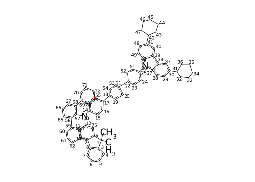 CC1(C)c2ccccc2-c2ccc(N(c3ccc(-c4ccc(-c5ccc(-n6c7ccc(C8CCCCC8)cc7c7cc(C8CCCCC8)ccc76)cc5)cc4)cc3)c3c(-c4ccccc4)cccc3-c3ccccc3)cc21